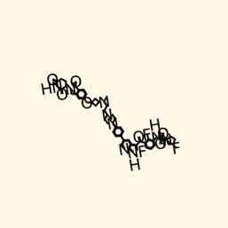 CN(CCN1CCN(c2ccc(-c3cnc4[nH]cc(C(=O)c5c(F)ccc(NS(=O)(=O)N6CC[C@@H](F)C6)c5F)c4c3)cc2)CC1)C1CC(Oc2ccc3c(c2)CN([C@H]2CCC(=O)NC2=O)C3=O)C1